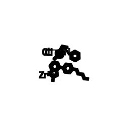 CC1=C2c3ccn(-c4ccccc4)c3C1[Si]2(C)C.CCCCCc1ccc(-c2cccc3c2C=C(C)[CH]3[Zr+2])cc1.[Cl-].[Cl-]